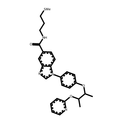 CSCCCNC(=O)c1ccc2c(c1)ncn2-c1ccc(OC(C)C(C)Oc2ccccn2)cc1